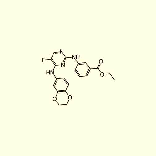 CCOC(=O)c1cccc(Nc2ncc(F)c(Nc3ccc4c(c3)OCCO4)n2)c1